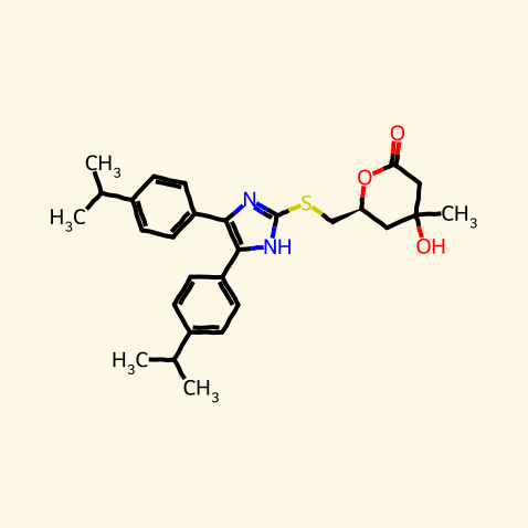 CC(C)c1ccc(-c2nc(SC[C@@H]3CC(C)(O)CC(=O)O3)[nH]c2-c2ccc(C(C)C)cc2)cc1